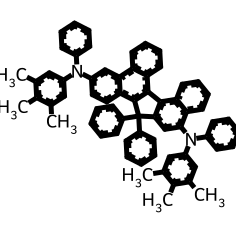 Cc1cc(N(c2ccccc2)c2ccc3c4c(c5ccccc5c3c2)-c2c(cc(N(c3ccccc3)c3cc(C)c(C)c(C)c3)c3ccccc23)C4(c2ccccc2)c2ccccc2)cc(C)c1C